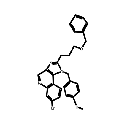 COc1ccc(Cn2c(CCCOCc3ccccc3)nc3cnc4cc(Br)ccc4c32)cc1